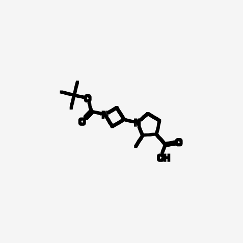 CC1C(C(=O)O)CCN1C1CN(C(=O)OC(C)(C)C)C1